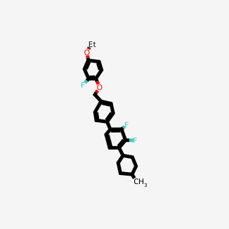 CCOc1ccc(OCc2ccc(-c3ccc(C4CCC(C)CC4)c(F)c3F)cc2)c(F)c1